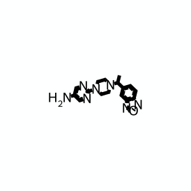 CC(c1ccc2nonc2c1)N1CCN(c2ncc(N)cn2)CC1